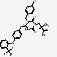 CC(C)(Cn1c(=O)[nH]/c(=N\c2ccc(Oc3ncccc3C(F)(F)F)cc2)n(Cc2ccc(Cl)cc2)c1=O)C(=O)O